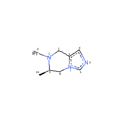 CC(C)N1Cc2cncn2C[C@H]1C